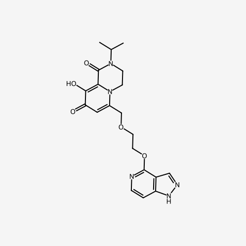 CC(C)N1CCn2c(COCCOc3nccc4[nH]ncc34)cc(=O)c(O)c2C1=O